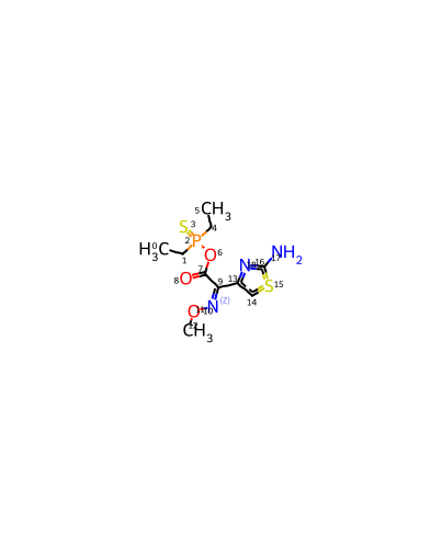 CCP(=S)(CC)OC(=O)/C(=N\OC)c1csc(N)n1